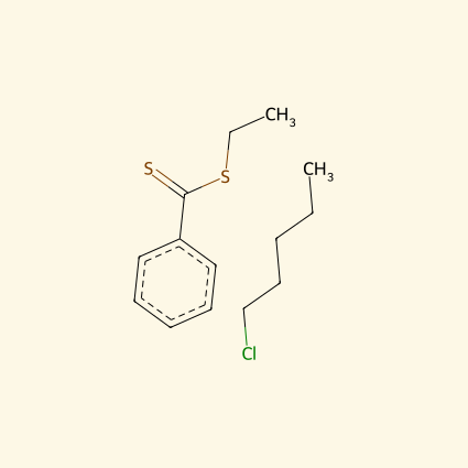 CCCCCCl.CCSC(=S)c1ccccc1